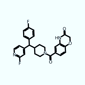 O=C1COc2ccc(C(=O)N3CCC(C(c4ccc(F)cc4)c4ccnc(F)c4)CC3)cc2N1